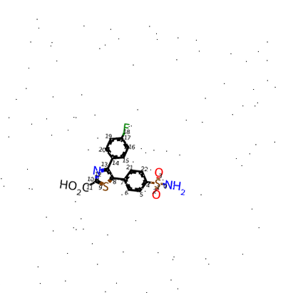 NS(=O)(=O)c1ccc(-c2sc(C(=O)O)nc2-c2ccc(F)cc2)cc1